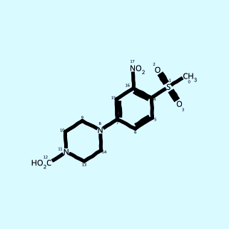 CS(=O)(=O)c1ccc(N2CCN(C(=O)O)CC2)cc1[N+](=O)[O-]